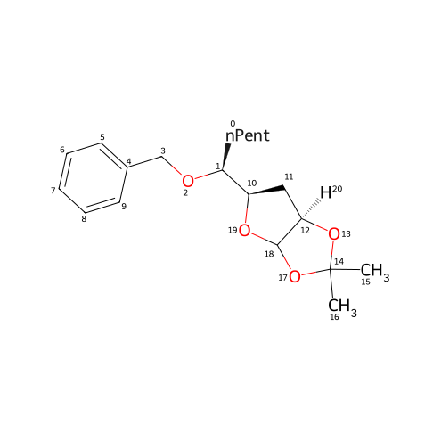 CCCCC[C@H](OCc1ccccc1)[C@H]1C[C@H]2OC(C)(C)OC2O1